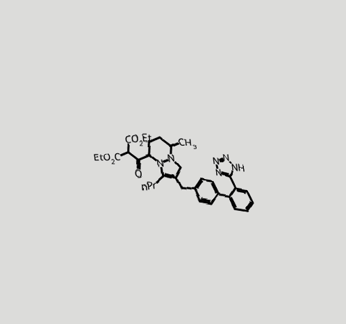 CCCC1=C(Cc2ccc(-c3ccccc3-c3nnn[nH]3)cc2)CN2C(C)CCC(C(=O)C(C(=O)OCC)C(=O)OCC)N12